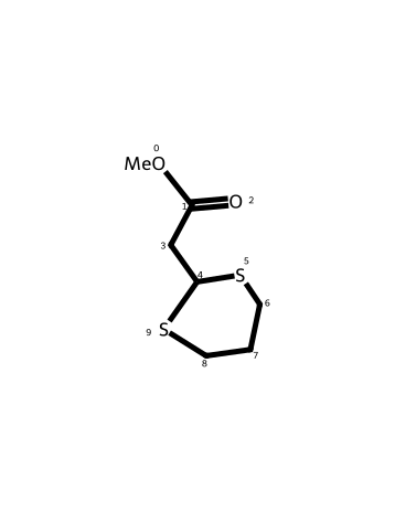 COC(=O)CC1SCCCS1